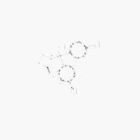 O=C1CCC1C(O)(c1ccc(Cl)cc1)c1ccc(Cl)cc1